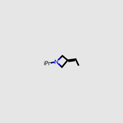 CC=C1CN(C(C)C)C1